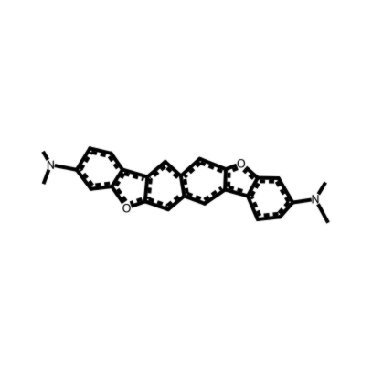 CN(C)c1ccc2c(c1)oc1cc3cc4c(cc3cc12)oc1cc(N(C)C)ccc14